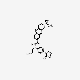 CC1([C@H]2CCc3nc4ccc(C(=O)N[C@H](CCO)c5ccc(N6CCOC6=O)cc5)cc4cc3C2)CC1